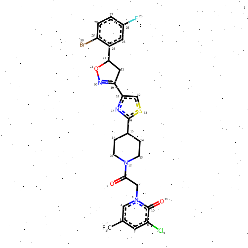 O=C(Cn1cc(C(F)(F)F)cc(Cl)c1=O)N1CCC(c2nc(C3=NOC(c4cc(F)ccc4Br)C3)cs2)CC1